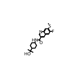 CSc1cc2ncc(C(=O)NC3CCC(C(C)(C)O)CC3)cc2cc1F